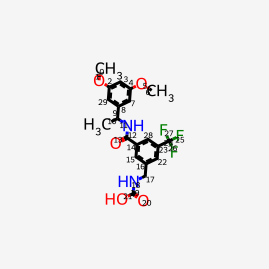 COc1cc(OC)cc(C(C)NC(=O)c2cc(CNC(=O)O)cc(C(F)(F)F)c2)c1